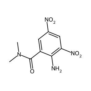 CN(C)C(=O)c1cc([N+](=O)[O-])cc([N+](=O)[O-])c1N